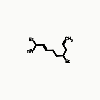 C=CCC(CC)CCC=CC(CC)CCC